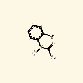 NC(=O)N(c1ccccc1O)C(F)(F)F